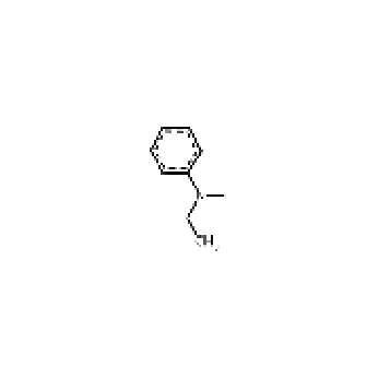 CCN(I)c1ccccc1